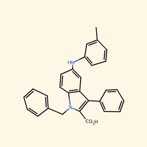 Cc1cccc(Nc2ccc3c(c2)c(-c2ccccc2)c(C(=O)O)n3Cc2ccccc2)c1